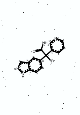 CC(C)C(C(N)=O)(c1cccnc1)c1ccc2[nH]ncc2c1